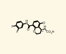 O=C(O)N[C@H]1CCOc2c(C(=O)Nc3ccc(F)c(F)c3)ccc(Cl)c21